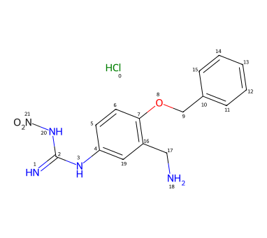 Cl.N=C(Nc1ccc(OCc2ccccc2)c(CN)c1)N[N+](=O)[O-]